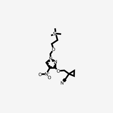 C[Si](C)(C)CCOCn1cc([N+](=O)[O-])c(OCC2(C#N)CC2)n1